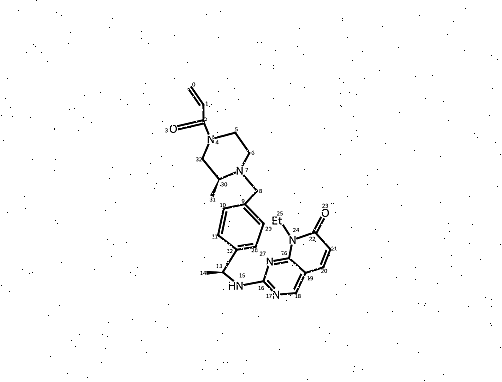 C=CC(=O)N1CCN(Cc2ccc([C@H](C)Nc3ncc4ccc(=O)n(CC)c4n3)cc2)[C@@H](C)C1